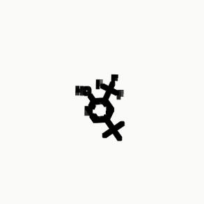 CC(C)(C)c1cnc(O)c(C(F)(F)F)c1